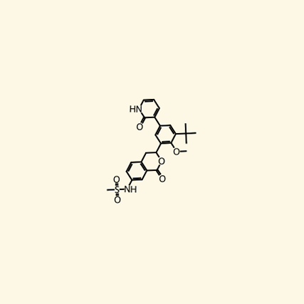 COc1c(C2Cc3ccc(NS(C)(=O)=O)cc3C(=O)O2)cc(-c2ccc[nH]c2=O)cc1C(C)(C)C